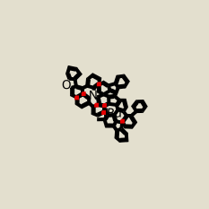 CC1=C(N(c2ccccc2-c2ccccc2)c2ccccc2-c2cccc3oc4ccccc4c23)C2(C=CC=C3C2=Cc2ccccc23)C2=Cc3ccc(-c4ccccc4-c4ccccc4)c(-c4c(C)c(C)cc5c4Cc4ccccc4-5)c3C2=C1C(C)(C)C